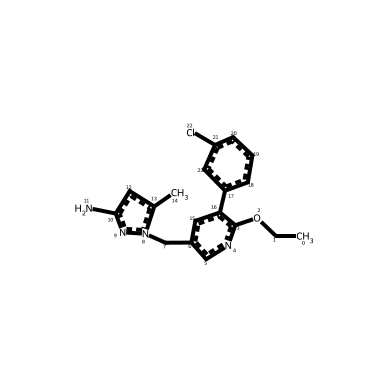 CCOc1ncc(Cn2nc(N)cc2C)cc1-c1cccc(Cl)c1